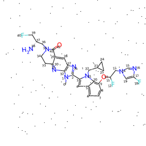 Cn1c(-c2cc3cccc(OC(F)Cn4cnc(F)c4)c3n2CC2CC2)nc2cc3c(nc21)CCN(C[C@H](N)CF)C3=O